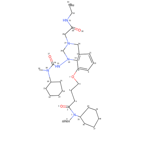 CCCCCCN(C(=O)CCCOc1cccc2c1N(NC(=O)N(C)C1CCCCC1)CN(CC(=O)NCC(C)(C)C)C2)C1CCCCC1